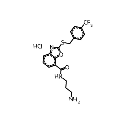 Cl.NCCCNC(=O)c1cccc2nc(SCc3ccc(C(F)(F)F)cc3)oc12